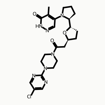 Cc1c(N2CCC[C@H]2[C@@H]2CC[C@@H](CC(=O)N3CCN(c4ncc(Cl)cn4)CC3)O2)cn[nH]c1=O